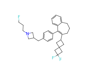 FCCCN1CC(Cc2ccc(C3=C(C4CC5(C4)CC(F)(F)C5)CCCc4ccccc43)cc2)C1